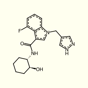 O=C(N[C@H]1CCCC[C@@H]1O)c1cn(Cc2cn[nH]c2)c2cccc(F)c12